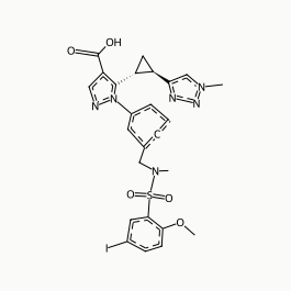 COc1ccc(I)cc1S(=O)(=O)N(C)Cc1cccc(-n2ncc(C(=O)O)c2[C@@H]2C[C@H]2c2cn(C)nn2)c1